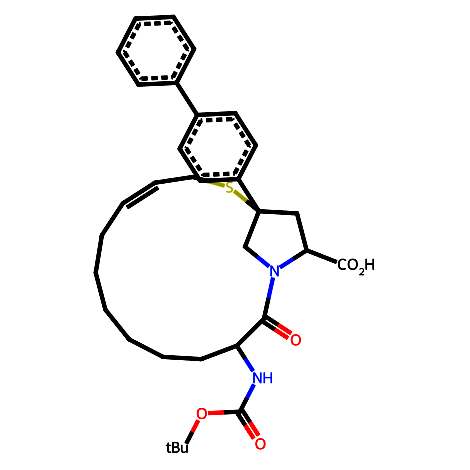 CC(C)(C)OC(=O)NC1CCCCCCC=CCSC2(c3ccc(-c4ccccc4)cc3)CC(C(=O)O)N(C2)C1=O